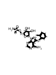 Cc1ccccc1Sc1nn([C@@H]2O[C@H](COS(N)(=O)=O)[C@@H](O)[C@H]2O)c2ncnc(N)c12